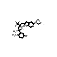 CCN(C)c1cc2cc(CC(O)(CC(C)(C)c3cc(F)ccc3C)C(F)(F)F)[nH]c2cn1